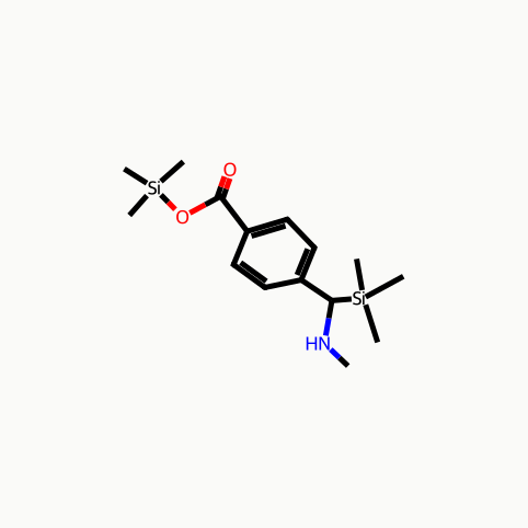 CNC(c1ccc(C(=O)O[Si](C)(C)C)cc1)[Si](C)(C)C